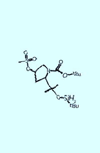 CC(C)(C)OC(=O)N1CC(OS(C)(=O)=O)CC1C(C)(C)O[SiH2]C(C)(C)C